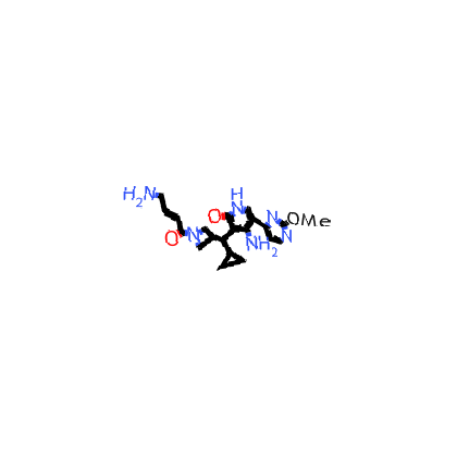 COc1nccc(-c2c[nH]c(=O)c(C(C3CC3)C3CN(C(=O)/C=C/CN)C3)c2N)n1